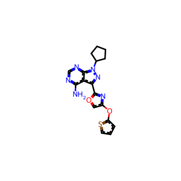 Nc1ncnc2c1c(-c1nc(Oc3cccs3)co1)nn2C1CCCC1